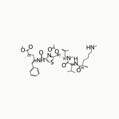 C=C(C)[C@@H](C[C@@H](OC(C)=O)c1nc(C(=O)N[C@@H](Cc2ccccc2)C[C@H](C)C(=O)OC)cs1)N(C)C(=O)[C@@H](NC(=O)[C@H](C)CCCCNC)C(C)C